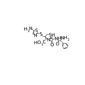 Nc1cnc(SCC2=C(C(=O)O)N3C(=O)C(NC(=O)C(N)c4ccccc4)[C@@H]3SC2)s1